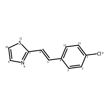 Clc1ccc(C=Cc2nccs2)cc1